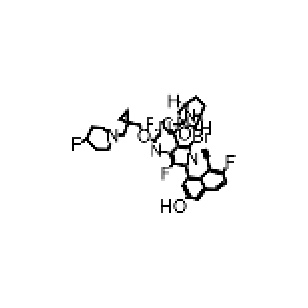 C#Cc1c(F)ccc2cc(O)cc(-c3nc(Br)c4c(N5C[C@H]6CC[C@@H](C5)N6C(=O)C(F)(F)F)nc(OCC5(CN6CCC(F)CC6)CC5)nc4c3F)c12